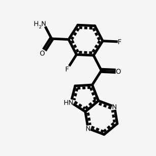 NC(=O)c1ccc(F)c(C(=O)c2c[nH]c3nccnc23)c1F